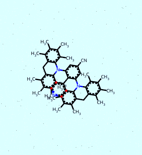 Cc1c(C)c(C)c2c(c1C)Cc1c(C)c(C)c(C)c(C)c1N2c1cc(C#N)cc(N2c3c(C)c(C)c(C)c(C)c3Cc3c(C)c(C)c(C)c(C)c32)c1-c1ccncc1